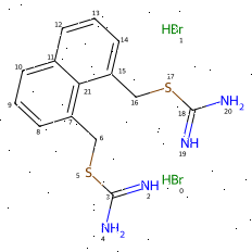 Br.Br.N=C(N)SCc1cccc2cccc(CSC(=N)N)c12